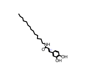 CCCCCCCCCCCCCCNC(=O)/C=C/c1ccc(O)c(O)c1